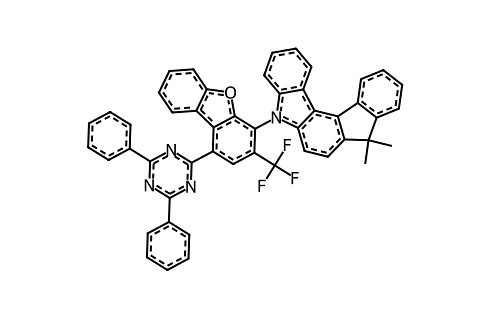 CC1(C)c2ccccc2-c2c1ccc1c2c2ccccc2n1-c1c(C(F)(F)F)cc(-c2nc(-c3ccccc3)nc(-c3ccccc3)n2)c2c1oc1ccccc12